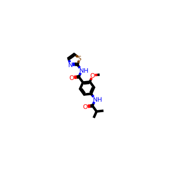 COc1cc(NC(=O)C(C)C)ccc1C(=O)Nc1nccs1